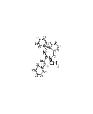 CN1Cc2ccccc2C(c2ccccc2)N=C1/C=C/c1ccccc1